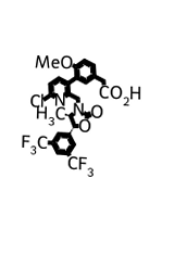 COc1ccc(CC(=O)O)cc1-c1ccc(Cl)nc1CN1C(=O)O[C@H](c2cc(C(F)(F)F)cc(C(F)(F)F)c2)[C@@H]1C